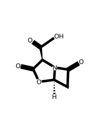 O=C(O)[C@@H]1C(=O)O[C@@H]2CC(=O)N12